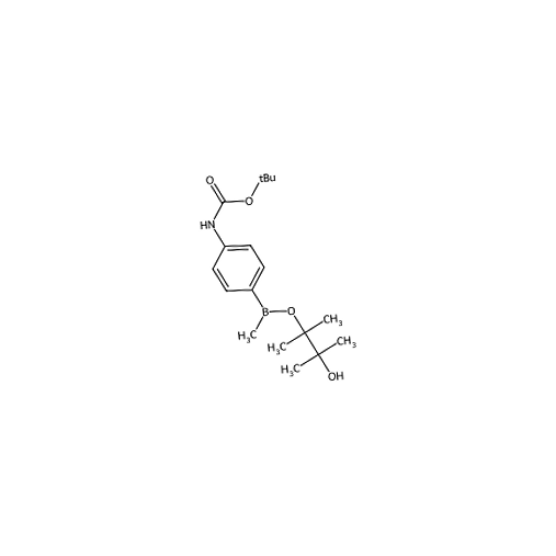 CB(OC(C)(C)C(C)(C)O)c1ccc(NC(=O)OC(C)(C)C)cc1